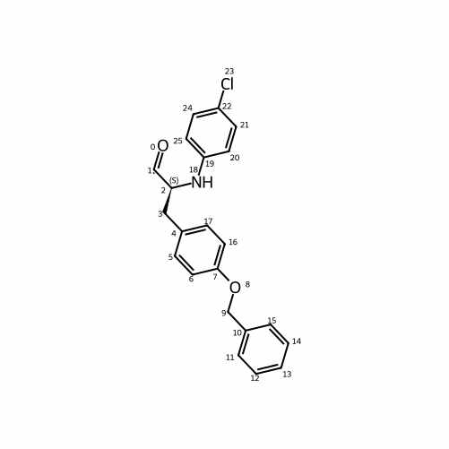 O=[C][C@H](Cc1ccc(OCc2ccccc2)cc1)Nc1ccc(Cl)cc1